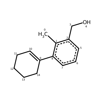 Cc1c(CO)cccc1C1=CCCCC1